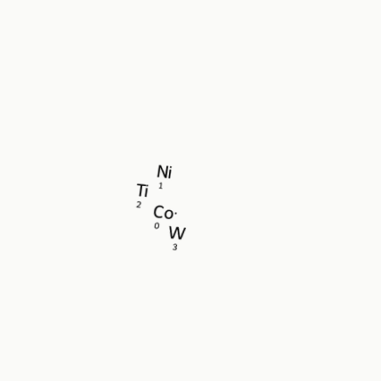 [Co].[Ni].[Ti].[W]